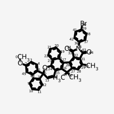 COc1ccc(C2(c3ccccc3)C=Cc3c4c(c5ccccc5c3O2)-c2c(cc(C)c3c2C(=O)N(c2ccc(Br)cc2)C3=O)C4(C)C)cc1